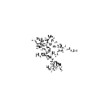 C=C1CC(CCCO)OC1CC[C@H]1C[C@@H](C)C(=C)[C@@H](CC2O[C@H](CC(=O)CO[Si](C)(C)C(C)(C)C)[C@H](OC)[C@H]2CS(=O)(=O)c2ccccc2)O1